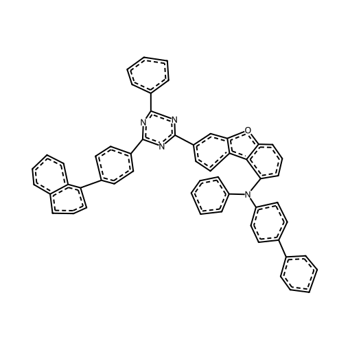 c1ccc(-c2ccc(N(c3ccccc3)c3cccc4oc5cc(-c6nc(-c7ccccc7)nc(-c7ccc(-c8cccc9ccccc89)cc7)n6)ccc5c34)cc2)cc1